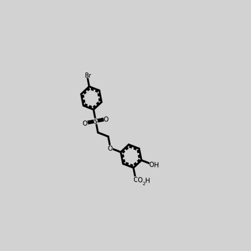 O=C(O)c1cc(OCCS(=O)(=O)c2ccc(Br)cc2)ccc1O